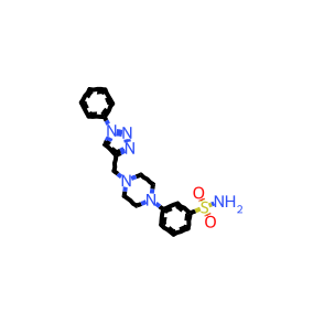 NS(=O)(=O)c1cccc(N2CCN(Cc3cn(-c4ccccc4)nn3)CC2)c1